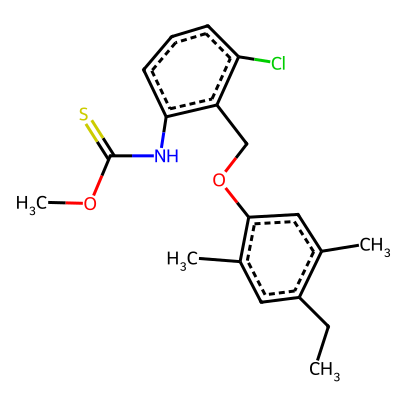 CCc1cc(C)c(OCc2c(Cl)cccc2NC(=S)OC)cc1C